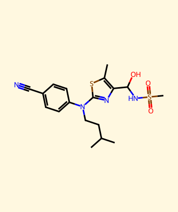 Cc1sc(N(CCC(C)C)c2ccc(C#N)cc2)nc1C(O)NS(C)(=O)=O